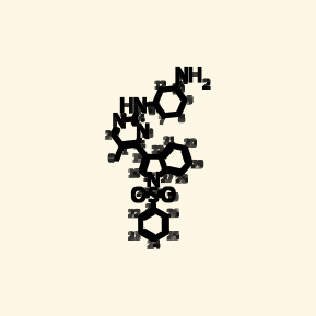 Cc1cnc(N[C@@H]2CCC[C@H](N)C2)nc1-c1cn(S(=O)(=O)c2ccccc2)c2ccccc12